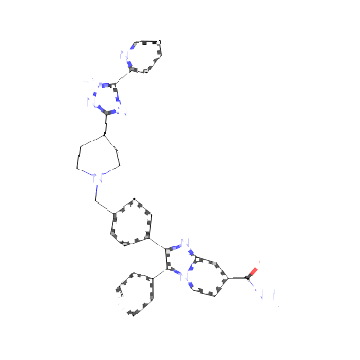 NC(=O)c1ccn2c(-c3ccccc3)c(-c3ccc(CN4CCC(c5n[nH]c(-c6ccccn6)n5)CC4)cc3)nc2c1